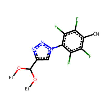 CCOC(OCC)c1cn(-c2c(F)c(F)c(C#N)c(F)c2F)nn1